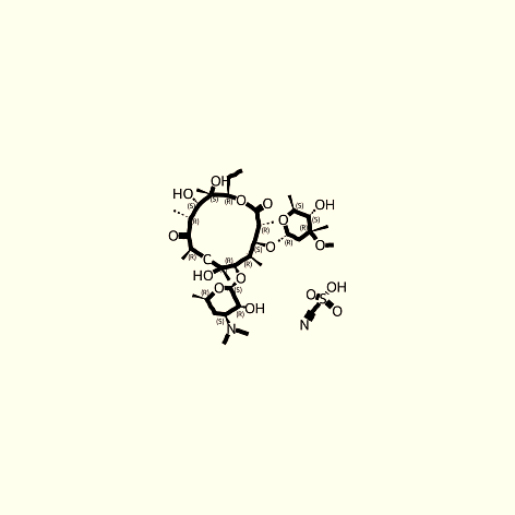 CC[C@H]1OC(=O)[C@H](C)[C@@H](O[C@H]2C[C@@](C)(OC)[C@@H](O)[C@H](C)O2)[C@@H](C)[C@@H](O[C@@H]2O[C@H](C)C[C@H](N(C)C)[C@H]2O)[C@](C)(O)C[C@@H](C)C(=O)[C@H](C)[C@H](O)[C@]1(C)O.N#CS(=O)(=O)O